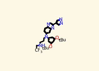 Cn1cc(-c2cnc3ccc(N(CCCNCC(F)(F)F)c4cc(OC(C)(C)C)cc(OC(C)(C)C)c4)cc3n2)cn1